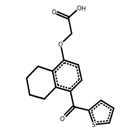 O=C(O)COc1ccc(C(=O)c2cccs2)c2c1CCCC2